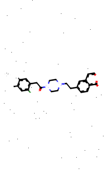 COc1cc(CC(=O)N2CCN(CCc3ccc4c(=O)occc4c3)CC2)c(F)cc1C